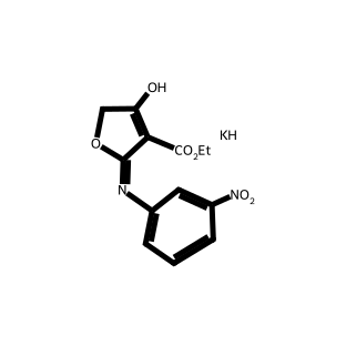 CCOC(=O)C1=C(O)COC1=Nc1cccc([N+](=O)[O-])c1.[KH]